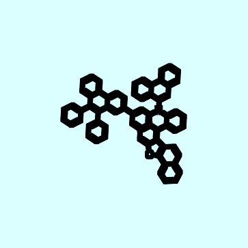 c1ccc(-c2c(-c3ccccc3)c3cc(-c4cccc(N(c5ccccc5-c5cccc6oc7c8ccccc8ccc7c56)c5cc6ccccc6c6ccccc56)c4)ccc3c3ccccc23)cc1